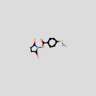 NSc1ccc(C(=O)ON2C(=O)CCC2=O)cc1